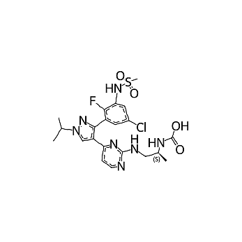 CC(C)n1cc(-c2ccnc(NC[C@H](C)NC(=O)O)n2)c(-c2cc(Cl)cc(NS(C)(=O)=O)c2F)n1